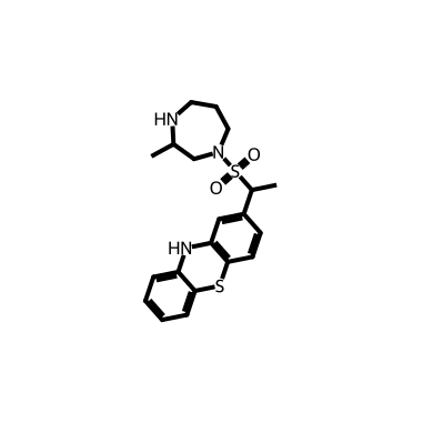 CC1CN(S(=O)(=O)C(C)c2ccc3c(c2)Nc2ccccc2S3)CCCN1